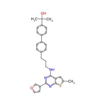 Cc1cc2c(NCCCc3ccc(-c4ccc(C(C)(C)O)cc4)cc3)nc(-c3ccoc3)nc2s1